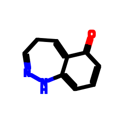 O=C1C=CC=C2NN=CCC=C12